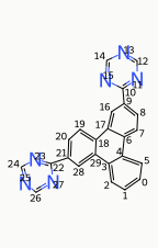 c1ccc2c(c1)c1ccc(-c3ncncn3)cc1c1ccc(-c3ncncn3)cc21